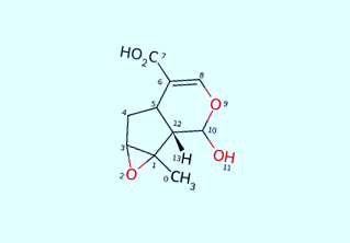 CC12OC1CC1C(C(=O)O)=COC(O)[C@@H]12